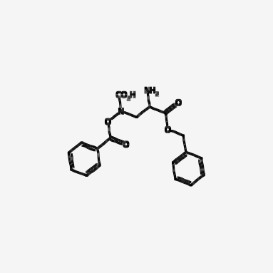 NC(CN(OC(=O)c1ccccc1)C(=O)O)C(=O)OCc1ccccc1